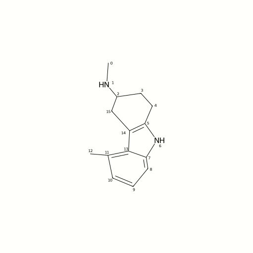 CNC1CCc2[nH]c3cccc(C)c3c2C1